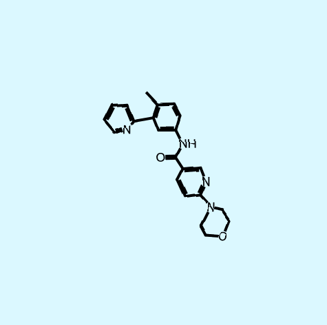 Cc1ccc(NC(=O)c2ccc(N3CCOCC3)nc2)cc1-c1ccccn1